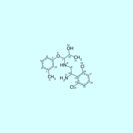 Cc1cccc(OC(NCC(N)c2c(Cl)cccc2Cl)C(C)O)c1